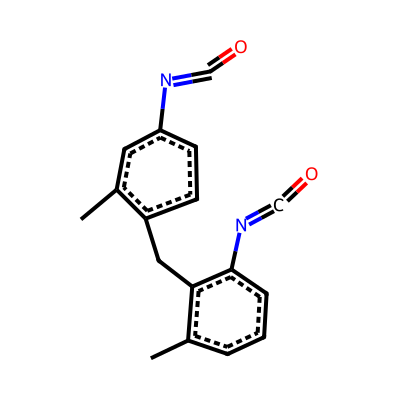 Cc1cc(N=C=O)ccc1Cc1c(C)cccc1N=C=O